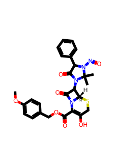 COc1ccc(COC(=O)C2=C(O)CS[C@H]3C(N4C(=O)C(c5ccccc5)N(N=O)C4(C)C)C(=O)N23)cc1